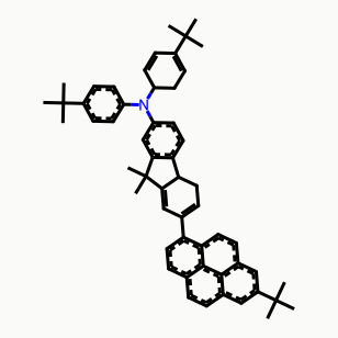 CC(C)(C)C1=CCC(N(c2ccc(C(C)(C)C)cc2)c2ccc3c(c2)C(C)(C)C2=CC(c4ccc5ccc6cc(C(C)(C)C)cc7ccc4c5c67)=CCC23)C=C1